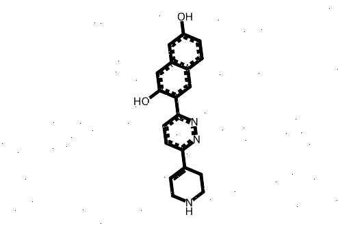 Oc1ccc2cc(-c3ccc(C4=CCNCC4)nn3)c(O)cc2c1